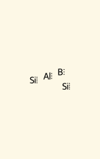 [Al].[B].[Si].[Si]